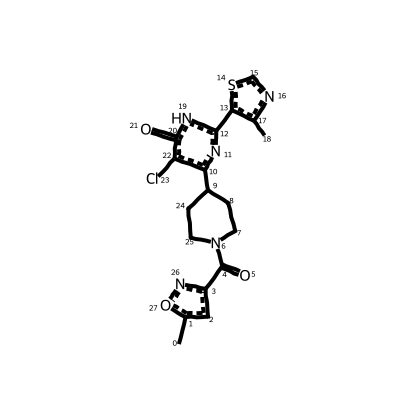 Cc1cc(C(=O)N2CCC(c3nc(-c4scnc4C)[nH]c(=O)c3Cl)CC2)no1